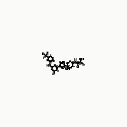 Cc1cc(Nc2nccc(C(F)(F)F)n2)cc(-c2cnc([C@]3(O)CC[C@@H](NC(=O)[C@H](C)O)CC3)s2)c1